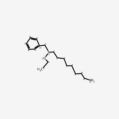 CCON(CCCCCCCCN)Cc1ccccc1